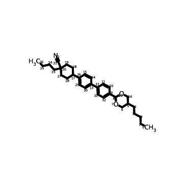 CCCCCC1COC(c2ccc(-c3ccc(C4CCC(C#N)(CCCC)CC4)cc3)cc2)OC1